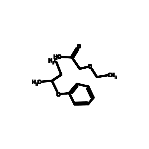 CCC(C)Oc1ccccc1.CCOCC(=O)O